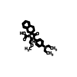 CCN(CC)c1ccc(NC(=O)C2(N(CCOC)C(=O)O)CCc3ccccc3C2)cc1